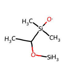 CC(O[SiH3])[Si](C)(C)[O]